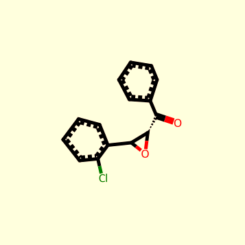 O=C(c1ccccc1)[C@@H]1OC1c1ccccc1Cl